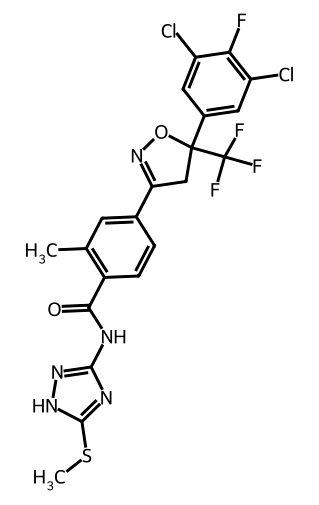 CSc1nc(NC(=O)c2ccc(C3=NOC(c4cc(Cl)c(F)c(Cl)c4)(C(F)(F)F)C3)cc2C)n[nH]1